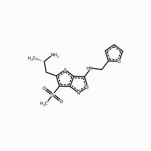 C[C@H](N)Cc1sc2c(NCc3ccco3)snc2c1S(C)(=O)=O